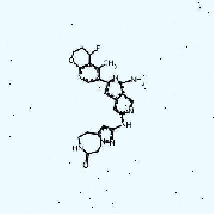 Cc1c(-c2cc3cc(Nc4cc5n(n4)CC(=O)NCC5)ncc3c(N)n2)cnc2c1C(F)CCO2